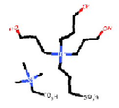 C[N+](C)(C)CC(=O)O.O=S(=O)(O)CCC[N+](CCCO)(CCCO)CCCO